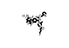 Cc1cc(N)nc(-c2c(Cl)cc3c(N4CCN(C(=O)/C=C/CF)CC4C)nc(OCC4CCCN4C)nc3c2F)c1C(F)(F)F